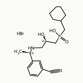 Br.C[C@@H](NC[C@@H](O)CP(=O)(O)CC1CCCCC1)c1cccc(C#N)c1